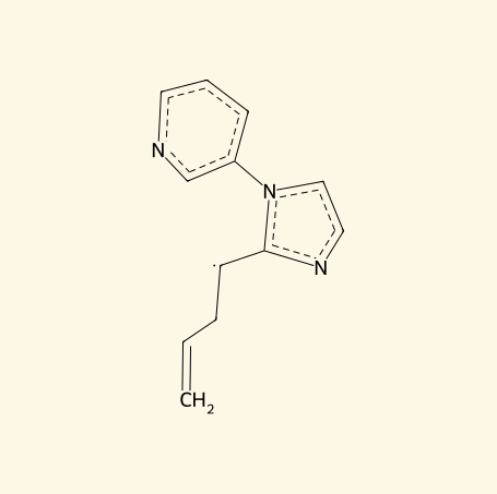 C=CC[CH]c1nccn1-c1cccnc1